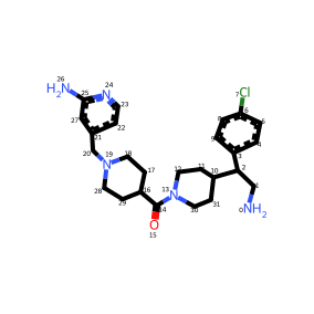 NCC(c1ccc(Cl)cc1)C1CCN(C(=O)C2CCN(Cc3ccnc(N)c3)CC2)CC1